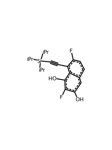 CC(C)[Si](C#Cc1c(F)ccc2cc(O)c(F)c(O)c12)(C(C)C)C(C)C